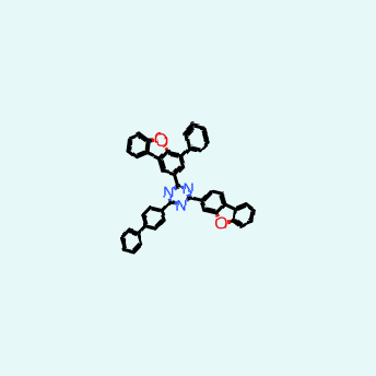 c1ccc(-c2ccc(-c3nc(-c4ccc5c(c4)oc4ccccc45)nc(-c4cc(-c5ccccc5)c5oc6ccccc6c5c4)n3)cc2)cc1